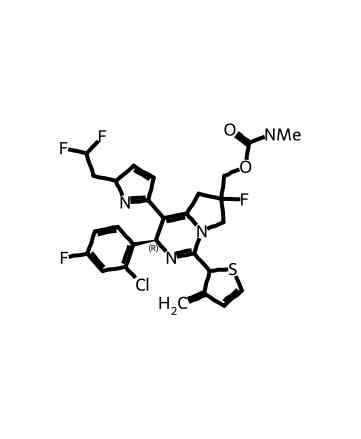 C=C1C=CSC1C1=N[C@@H](c2ccc(F)cc2Cl)C(C2=NC(CC(F)F)C=C2)=C2CC(F)(COC(=O)NC)CN12